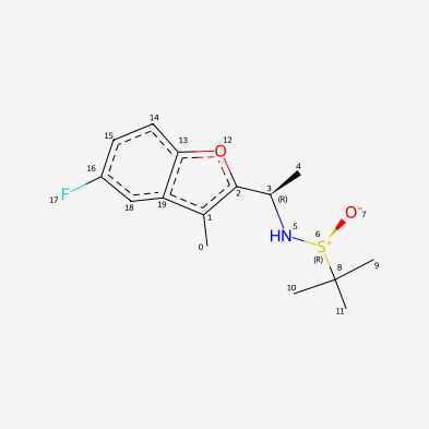 Cc1c([C@@H](C)N[S@@+]([O-])C(C)(C)C)oc2ccc(F)cc12